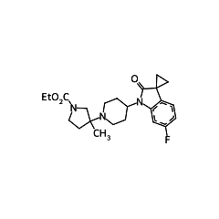 CCOC(=O)N1CCC(C)(N2CCC(N3C(=O)C4(CC4)c4ccc(F)cc43)CC2)C1